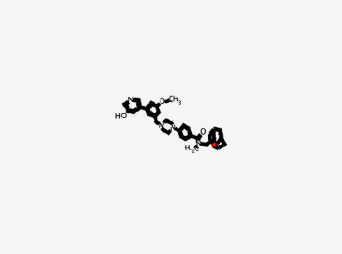 CCOc1cc(CN2CCN(c3ccc(C(=O)N(C)CC45CC6CC(CC(C6)C4)C5)cc3)CC2)cc(-c2cncc(O)c2)c1